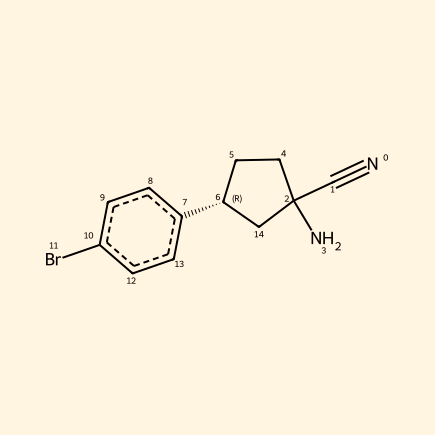 N#CC1(N)CC[C@@H](c2ccc(Br)cc2)C1